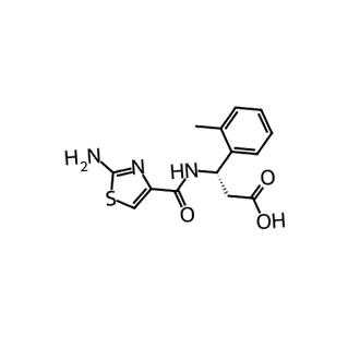 Cc1ccccc1[C@H](CC(=O)O)NC(=O)c1csc(N)n1